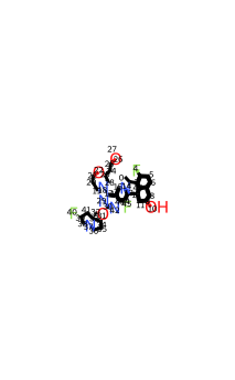 CCc1c(F)ccc2cc(O)cc(-c3ncc4c(N5CCCOC(CCOC)C5)nc(OC[C@@]56CCCN5C[C@H](F)C6)nc4c3F)c12